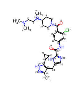 CN(C)CCN(C)C1CCN(C(=O)c2ccc(NC(=O)c3ncc(Cc4c(C(F)(F)F)n[nH]c4C4CC4)[nH]3)cc2Cl)CC1